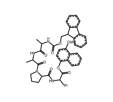 COc1ccc(OC(=O)C(NC(=O)C2CCCN2C(=O)C(C)NC(=O)C(C)NC(=O)OCC2c3ccccc3-c3ccccc32)C(C)C)c2ccccc12